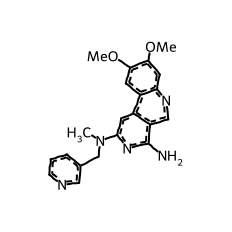 COc1cc2ncc3c(N)nc(N(C)Cc4cccnc4)cc3c2cc1OC